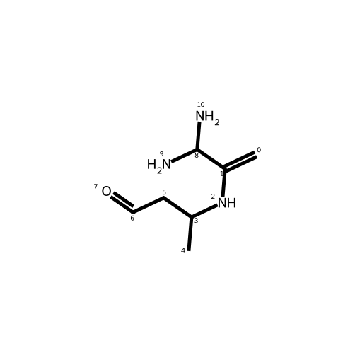 C=C(NC(C)CC=O)C(N)N